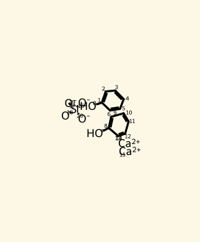 Oc1ccccc1.Oc1ccccc1.[Ca+2].[Ca+2].[O-][Si]([O-])([O-])[O-]